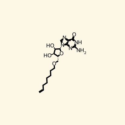 C=CCCCCCCOC[C@H]1O[C@@H](n2cnc3c(=O)[nH]c(N)nc32)[C@H](O)[C@@H]1O